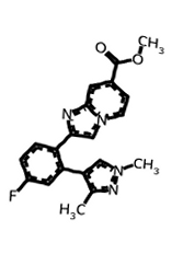 COC(=O)c1ccn2cc(-c3ccc(F)cc3-c3cn(C)nc3C)nc2c1